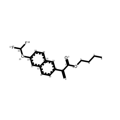 C=C(C(=O)OCCCC)c1ccc2cc(OC(F)F)ccc2c1